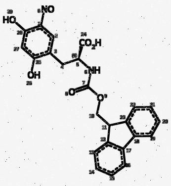 O=Nc1cc(C[C@H](NC(=O)OCC2c3ccccc3-c3ccccc32)C(=O)O)c(O)cc1O